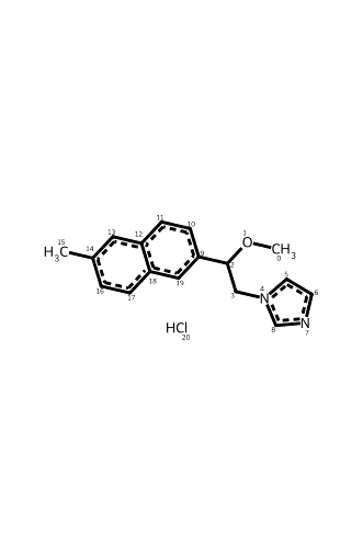 COC(Cn1ccnc1)c1ccc2cc(C)ccc2c1.Cl